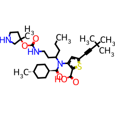 CCCC(CCNC(=O)OC1(C)CCNC1)N(c1cc(C#CC(C)(C)C)sc1C(=O)O)C(=O)[C@H]1CC[C@H](C)CC1